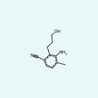 Cc1ccc(C#N)c(CCCO)c1N